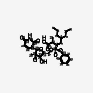 CCCC(CCC)CN(C(C)C(=O)O)[P@@](=O)(OC[C@H]1O[C@@H](n2ccc(=O)[nH]c2=O)[C@](C)(Cl)[C@@H]1O)Oc1ccccc1